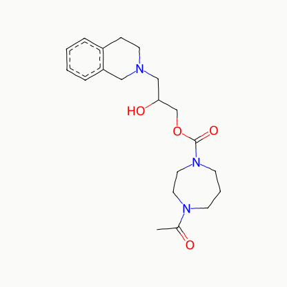 CC(=O)N1CCCN(C(=O)OCC(O)CN2CCc3ccccc3C2)CC1